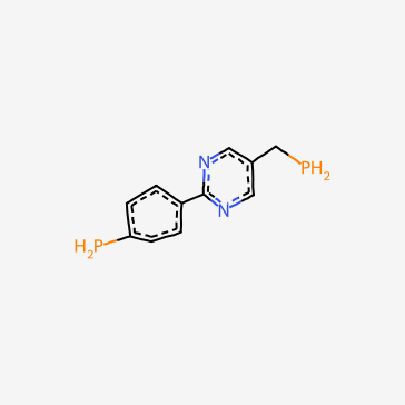 PCc1cnc(-c2ccc(P)cc2)nc1